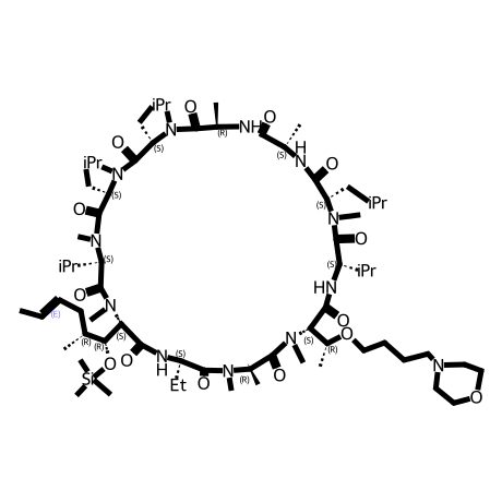 C/C=C/C[C@@H](C)[C@@H](O[Si](C)(C)C)[C@H]1C(=O)N[C@@H](CC)C(=O)N(C)[C@H](C)C(=O)N(C)[C@@H]([C@@H](C)OCCCCN2CCOCC2)C(=O)N[C@@H](C(C)C)C(=O)N(C)[C@@H](CC(C)C)C(=O)N[C@@H](C)C(=O)N[C@H](C)C(=O)N(C)[C@@H](CC(C)C)C(=O)N(C)[C@@H](CC(C)C)C(=O)N(C)[C@@H](C(C)C)C(=O)N1C